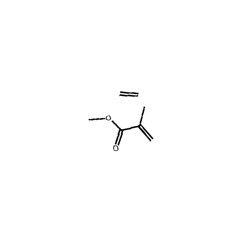 C=C.C=C(C)C(=O)OC